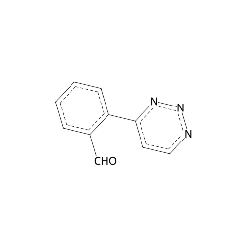 O=Cc1ccccc1-c1ccnnn1